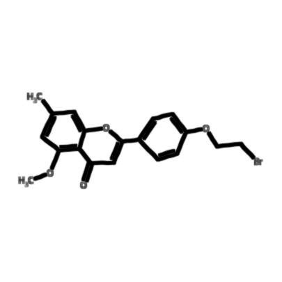 COc1cc(C)cc2oc(-c3ccc(OCCBr)cc3)cc(=O)c12